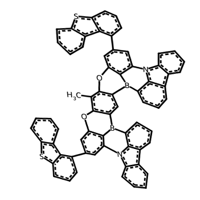 Cc1c2c(cc3c1Oc1cc(-c4cccc5sc6ccccc6c45)cc4c1B3c1cccc3c5ccccc5n-4c13)B1c3c(cc(-c4cccc5sc6ccccc6c45)cc3-n3c4ccccc4c4cccc1c43)O2